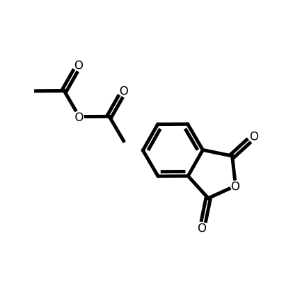 CC(=O)OC(C)=O.O=C1OC(=O)c2ccccc21